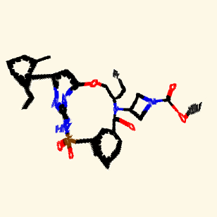 Cc1cccc(C)c1-c1cc2nc(n1)NS(=O)(=O)c1cccc(c1)C(=O)N(C1CN(C(=O)OC(C)(C)C)C1)[C@H](CC(C)C)CO2